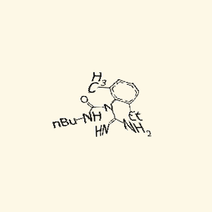 CCCCNC(=O)N(C(=N)N)c1c(C)cccc1CC